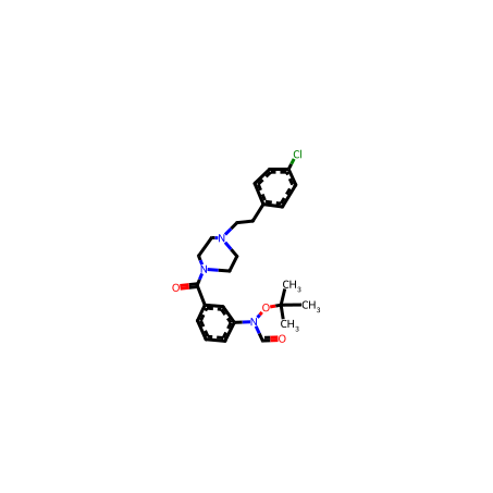 CC(C)(C)ON(C=O)c1cccc(C(=O)N2CCN(CCc3ccc(Cl)cc3)CC2)c1